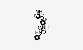 Nc1cc(Oc2ccc(NC(=O)C(=O)NCc3ccccc3)cc2F)ccn1